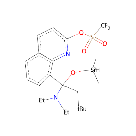 CCN(CC)C(CC(C)(C)C)(O[SiH](C)C)c1cccc2ccc(OS(=O)(=O)C(F)(F)F)nc12